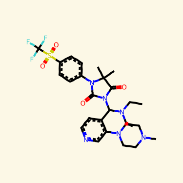 CCN(CC)C(c1ccncc1N1CCN(C)CC1)N1C(=O)N(c2ccc(S(=O)(=O)C(F)(F)F)cc2)C(C)(C)C1=O